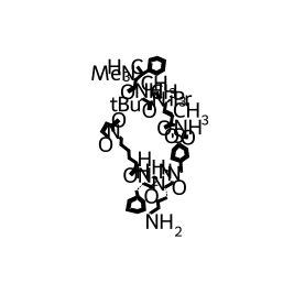 CN[C@H](C(=O)N[C@H](C(=O)N(C)[C@H](/C=C(\C)C(=O)NS(=O)(=O)c1ccc(CN(N)C(=O)[C@H](CCCCN)NC(=O)[C@H](Cc2ccccc2)NC(=O)CCCCCN2C(=O)C=CC2=O)cc1)C(C)C)C(C)(C)C)C(C)(C)c1ccccc1